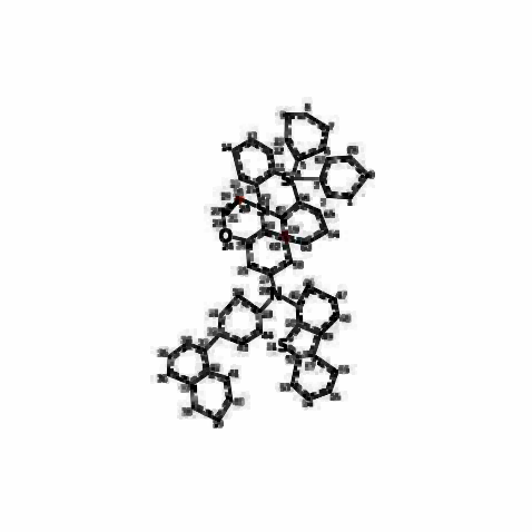 c1ccc([Si]2(c3ccccc3)c3ccccc3[Si]3(c4ccccc4Oc4cc(N(c5ccc(-c6cccc7ccccc67)cc5)c5cccc6c5sc5ccccc56)ccc43)c3ccccc32)cc1